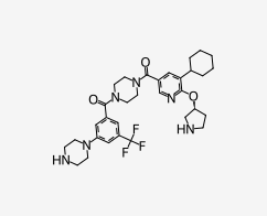 O=C(c1cc(N2CCNCC2)cc(C(F)(F)F)c1)N1CCN(C(=O)c2cnc(O[C@H]3CCNC3)c(C3CCCCC3)c2)CC1